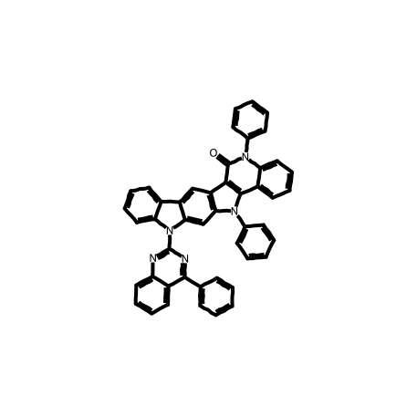 O=c1c2c3cc4c5ccccc5n(-c5nc(-c6ccccc6)c6ccccc6n5)c4cc3n(-c3ccccc3)c2c2ccccc2n1-c1ccccc1